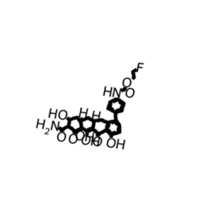 NC(=O)C1C(=O)[C@@]2(O)C(O)=C3C(=O)c4c(O)ccc(-c5ccc(NC(=O)OCCF)cc5)c4C[C@H]3C[C@H]2CC1O